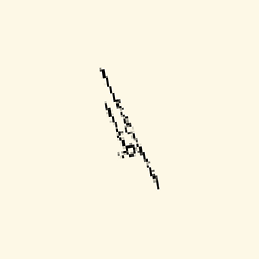 CCCCCCCCC=CCCC1CCCCC1=O.CCCCCCCCCCCCCCCCOCCCCCCCCCCCCCCCC